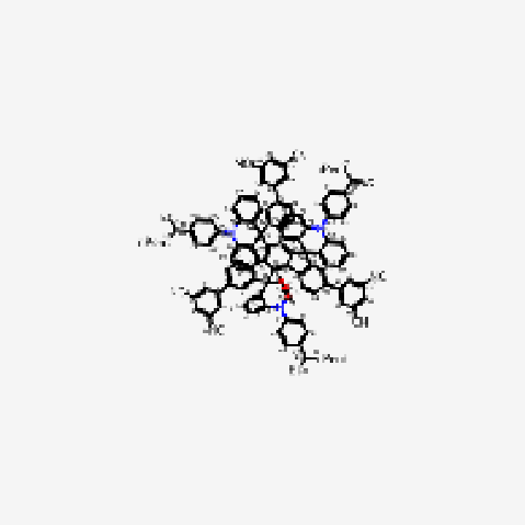 [C-]#[N+]c1cc(C#N)cc(-c2ccc3c(c2)C2(c4ccccc4N(c4ccc(C(CC)CCCCC)cc4)c4ccccc42)c2c-3c3c(c4c2-c2ccc(-c5cc(C#N)cc([N+]#[C-])c5)cc2C42c4ccccc4N(c4ccc(C(CC)CCCCC)cc4)c4ccccc42)-c2ccc(-c4cc(C#N)cc(C#N)c4)cc2C32c3ccccc3N(c3ccc(C(CC)CCCCC)cc3)c3ccccc32)c1